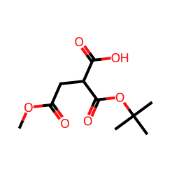 COC(=O)CC(C(=O)O)C(=O)OC(C)(C)C